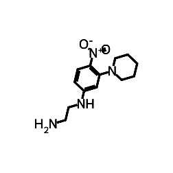 NCCNc1ccc([N+](=O)[O-])c(N2CCCCC2)c1